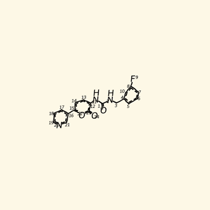 O=C(NCc1cccc(F)c1)Nc1ccc(-c2cccnc2)oc1=O